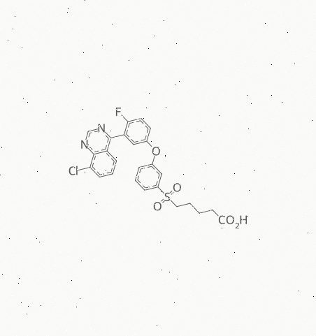 O=C(O)CCCCS(=O)(=O)c1cccc(Oc2ccc(F)c(-c3ncnc4c(Cl)cccc34)c2)c1